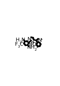 Cn1cc(-c2ccnc(C3([N+](=O)[O-])C=C(N)C(C(F)(F)F)=CC3N)n2)c2ccccc21